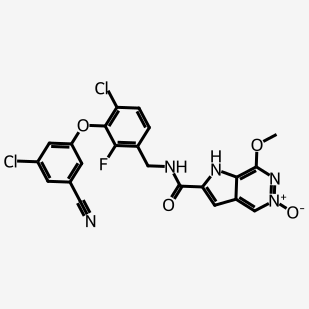 COc1n[n+]([O-])cc2cc(C(=O)NCc3ccc(Cl)c(Oc4cc(Cl)cc(C#N)c4)c3F)[nH]c12